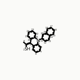 CC(S)=C1c2ccccc2N(c2ccc3ccccc3c2)c2ccccc21